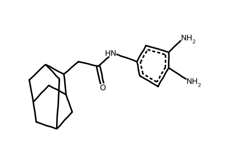 Nc1ccc(NC(=O)CC2C3CC4CC(C3)CC2C4)cc1N